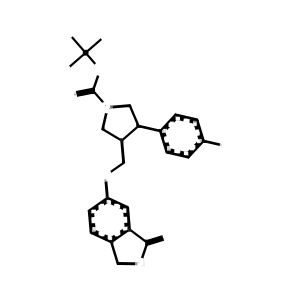 CC(C)(C)OC(=O)N1CC(COc2ccc3c(c2)C(=O)NC3)C(c2ccc(O)cc2)C1